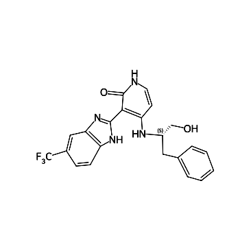 O=c1[nH]ccc(N[C@H](CO)Cc2ccccc2)c1-c1nc2cc(C(F)(F)F)ccc2[nH]1